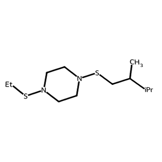 CCSN1CCN(SCC(C)C(C)C)CC1